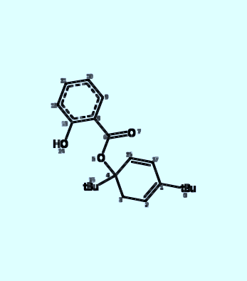 CC(C)(C)C1=CCC(OC(=O)c2ccccc2O)(C(C)(C)C)C=C1